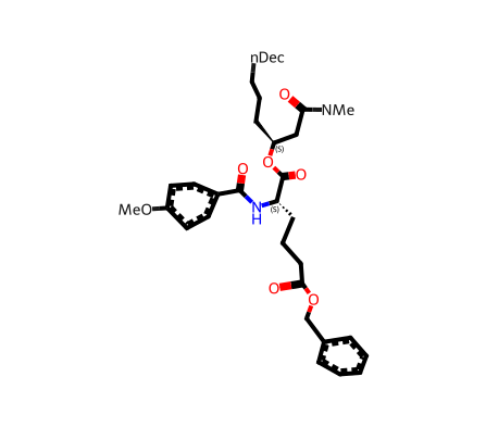 CCCCCCCCCCCCC[C@@H](CC(=O)NC)OC(=O)[C@H](CCCC(=O)OCc1ccccc1)NC(=O)c1ccc(OC)cc1